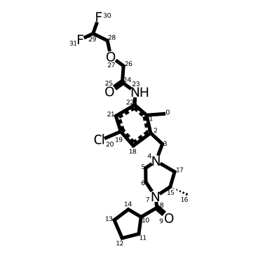 Cc1c(CN2CCN(C(=O)C3CCCC3)[C@@H](C)C2)cc(Cl)cc1NC(=O)COCC(F)F